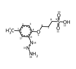 Cc1ccc(OCCCS(=O)(=O)O)c(N=NN)c1